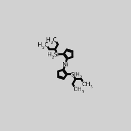 CCC(CC)[SiH2]C1=[C]([Ni][C]2=C([SiH2]C(CC)CC)C=CC2)CC=C1